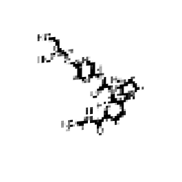 O=C(NCC(F)(F)F)C1C=CC2=C(N1)N(C(=O)Nc1cnc(OC[C@@H](O)CO)cn1)[C@H]1CCN2C1